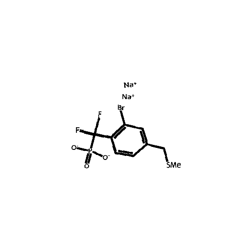 CSCc1ccc(C(F)(F)P(=O)([O-])[O-])c(Br)c1.[Na+].[Na+]